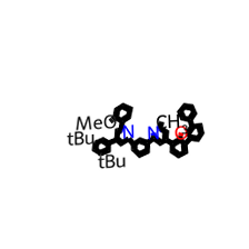 COc1ccccc1-c1cc(-c2cc(C(C)(C)C)cc(C(C)(C)C)c2)cc(-c2cccc(-c3cc(-c4cccc5c4oc4c(-c6ccccc6)cccc45)cc(C)n3)c2)n1